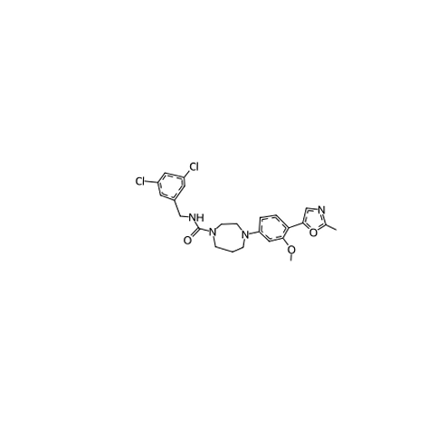 COc1cc(N2CCCN(C(=O)NCc3cc(Cl)cc(Cl)c3)CC2)ccc1-c1cnc(C)o1